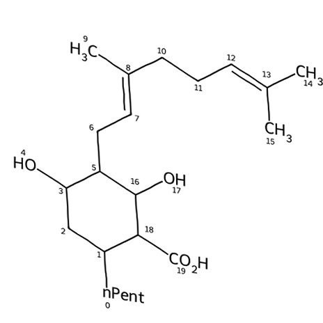 CCCCCC1CC(O)C(C/C=C(\C)CCC=C(C)C)C(O)C1C(=O)O